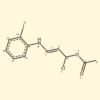 CC(=O)OC(Cl)/C=N/Nc1ccccc1I